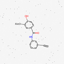 C#Cc1cccc(NC(=O)c2ccc(O)c(OC)c2)c1